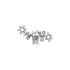 O=C(NC1=NCC2CN(C(=O)OCc3ccccc3)CC2(c2cccs2)S1)c1ccccc1